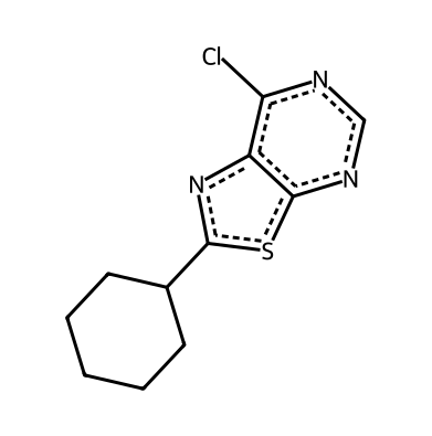 Clc1ncnc2sc(C3CCCCC3)nc12